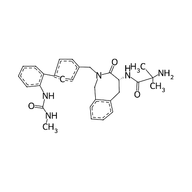 CNC(=O)Nc1ccccc1-c1ccc(CN2Cc3ccccc3C[C@@H](NC(=O)C(C)(C)N)C2=O)cc1